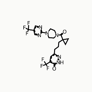 O=C(N1CCN(c2ncc(C(F)(F)F)cn2)CC1)C1(CCCc2cc(C(F)(F)F)c(=O)[nH]n2)CC1